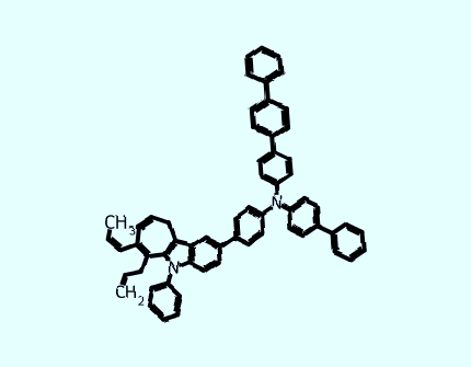 C=CCC1=C(/C=C\C)C=CCc2c1n(-c1ccccc1)c1ccc(-c3ccc(N(c4ccc(-c5ccccc5)cc4)c4ccc(-c5ccc(-c6ccccc6)cc5)cc4)cc3)cc21